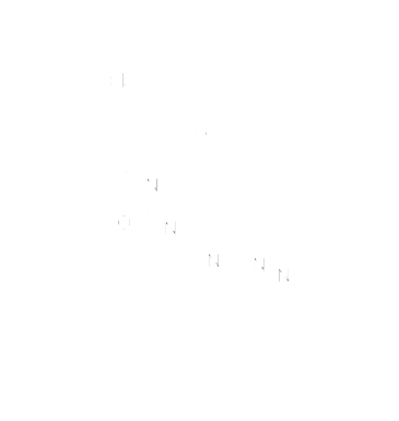 C=C1/C=C\C(Cl)=C/COCCN1C(=O)N1CCN(C2=NN=CCC(C)=C2)CC1